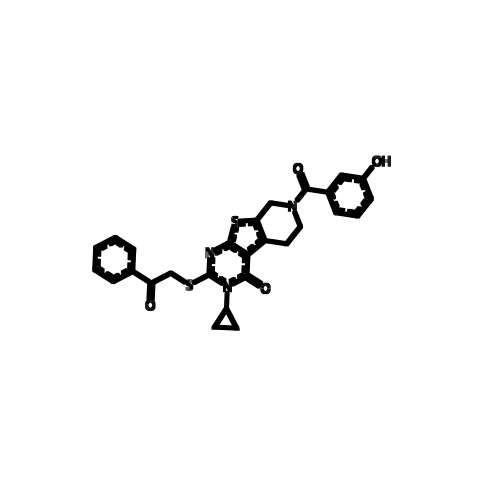 O=C(CSc1nc2sc3c(c2c(=O)n1C1CC1)CCN(C(=O)c1cccc(O)c1)C3)c1ccccc1